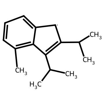 Cc1cccc2c1C(C(C)C)=C(C(C)C)[CH]2